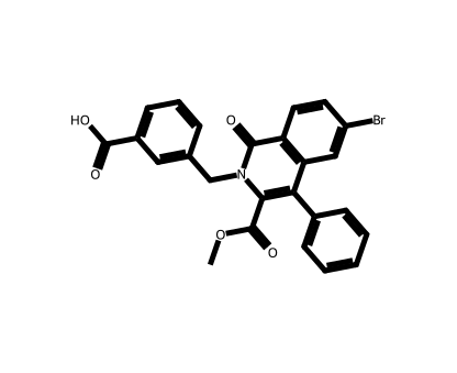 COC(=O)c1c(-c2ccccc2)c2cc(Br)ccc2c(=O)n1Cc1cccc(C(=O)O)c1